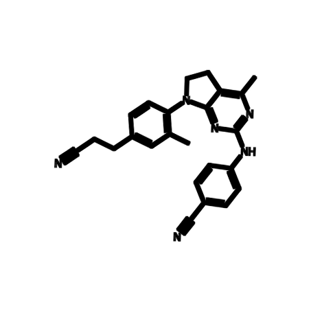 Cc1cc(CCC#N)ccc1N1CCc2c(C)nc(Nc3ccc(C#N)cc3)nc21